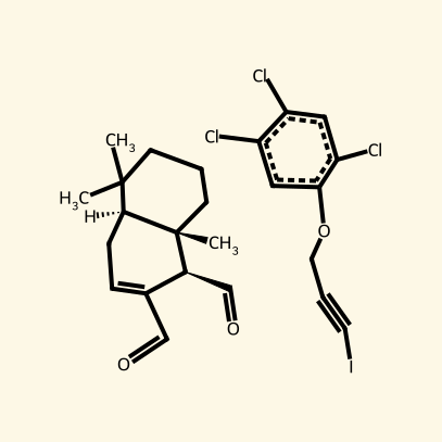 CC1(C)CCC[C@]2(C)[C@@H](C=O)C(C=O)=CC[C@@H]12.Clc1cc(Cl)c(OCC#CI)cc1Cl